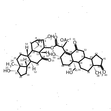 CC(=O)OC(C(=O)OC1[C@@H](O)CC[C@@]2(CO)[C@H]1C(=O)C[C@H]1[C@@H]3CC[C@H](O)[C@@]3(C)CC[C@@H]12)C1=C2C(=O)CC3C(CC[C@]4(C)C(=O)CCC34)[C@@]2(CO)CC[C@@H]1O